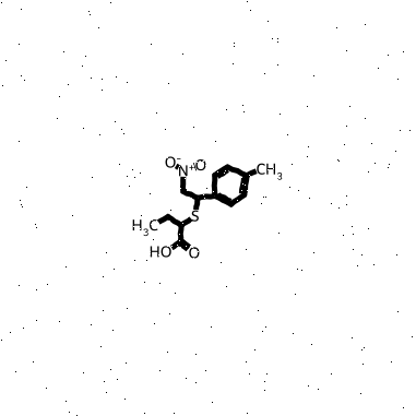 CCC(SC(C[N+](=O)[O-])c1ccc(C)cc1)C(=O)O